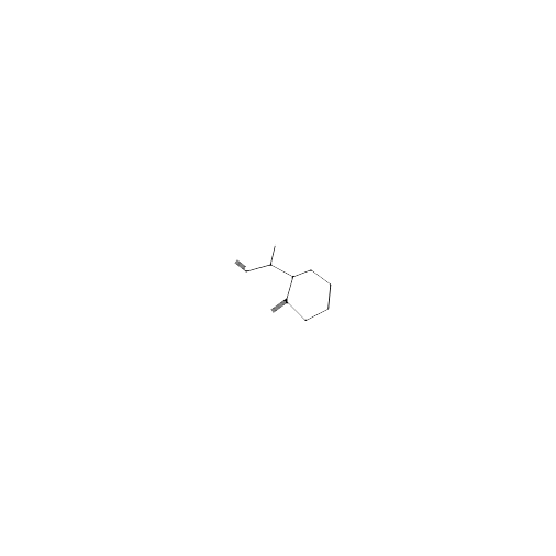 CC(C=O)C1CCCCC1=O